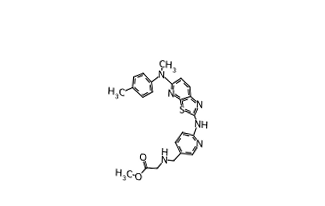 COC(=O)CNCc1ccc(Nc2nc3ccc(N(C)c4ccc(C)cc4)nc3s2)nc1